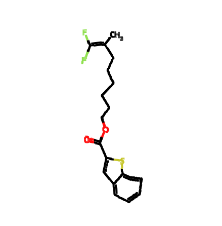 CC(CCCCCCOC(=O)c1cc2ccccc2s1)=C(F)F